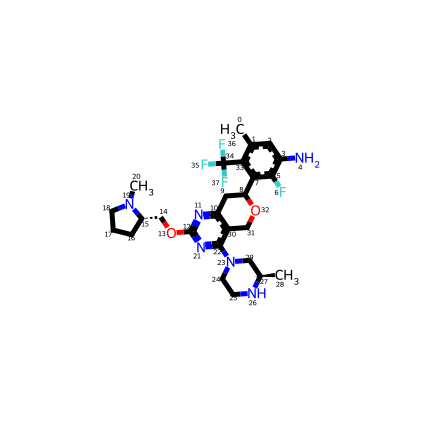 Cc1cc(N)c(F)c(C2Cc3nc(OC[C@@H]4CCCN4C)nc(N4CCN[C@H](C)C4)c3CO2)c1C(F)(F)F